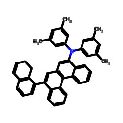 Cc1cc(C)cc(N(c2cc(C)cc(C)c2)c2cc3cc(-c4cccc5c4CCC=C5)c4ccccc4c3c3ccccc23)c1